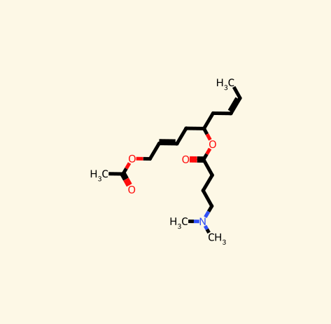 C/C=C\CC(C/C=C/COC(C)=O)OC(=O)CCCN(C)C